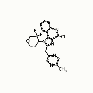 Cc1cnc(Cc2nc3c(Cl)nc4ccccc4c3n2C2CCOCC2(F)F)cn1